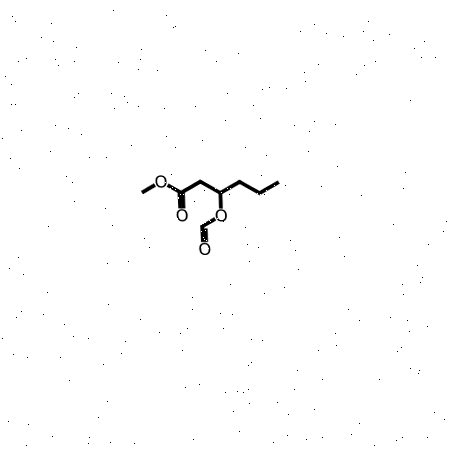 CCCC(CC(=O)OC)OC=O